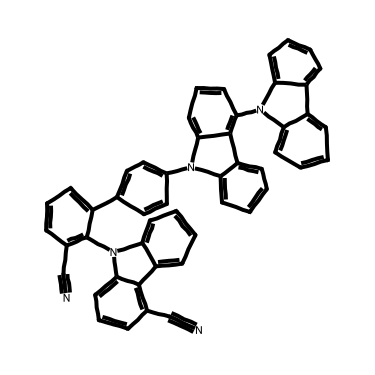 N#Cc1cccc(-c2ccc(-n3c4ccccc4c4c(-n5c6ccccc6c6ccccc65)cccc43)cc2)c1-n1c2ccccc2c2c(C#N)cccc21